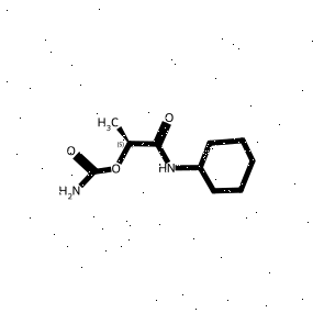 C[C@H](OC(N)=O)C(=O)NC1CCCCC1